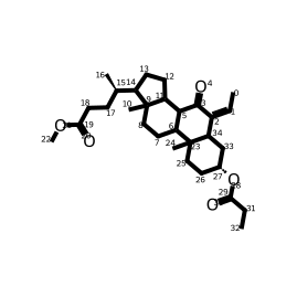 C/C=C1\C(=O)C2C(CCC3(C)C2CCC3[C@H](C)CCC(=O)OC)C2(C)CC[C@@H](OC(=O)CC)CC12